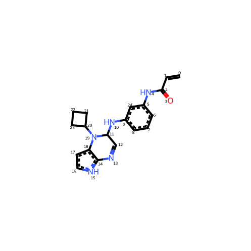 C=CC(=O)Nc1cccc(NC2C=Nc3[nH]ccc3N2C2CCC2)c1